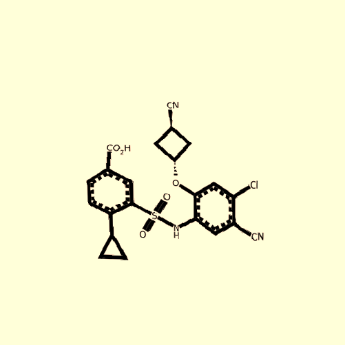 N#Cc1cc(NS(=O)(=O)c2cc(C(=O)O)ccc2C2CC2)c(O[C@H]2C[C@H](C#N)C2)cc1Cl